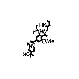 C=C(NCC(=N)/C=C\C)c1c(OC)cc(-c2cnc3cc(C(C)(C)C#N)ccn23)cc1OC(F)F